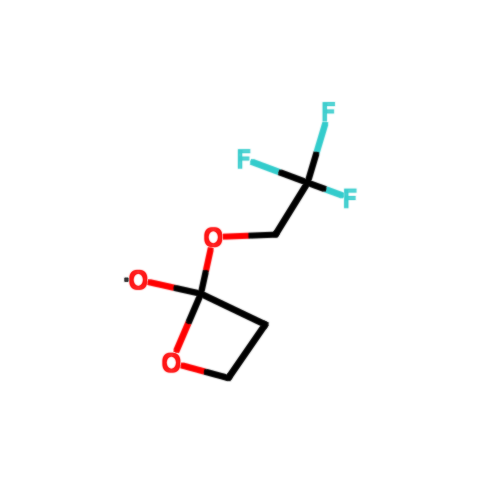 [O]C1(OCC(F)(F)F)CCO1